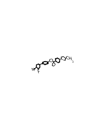 CC1CCC(c2ccc(C(=O)Oc3ccc(-c4ccc(C#N)c(F)c4)cc3)cc2)CC1